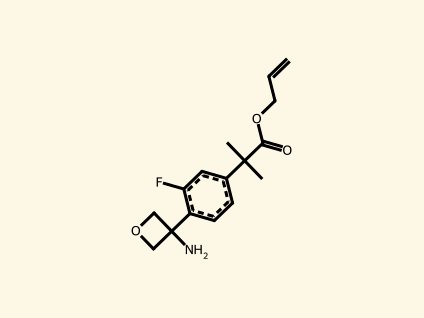 C=CCOC(=O)C(C)(C)c1ccc(C2(N)COC2)c(F)c1